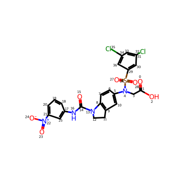 O=C(O)CN(c1ccc2c(c1)CCN2C(=O)Nc1cccc([N+](=O)[O-])c1)S(=O)(=O)c1cc(Cl)cc(Cl)c1